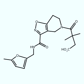 Cc1ccc(CNC(=O)c2noc3c2CN(C(=O)C(C)(C)CC(=O)O)CC3)o1